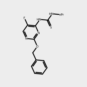 CCCNC(=S)Nc1nc(OCc2ccccc2)ncc1F